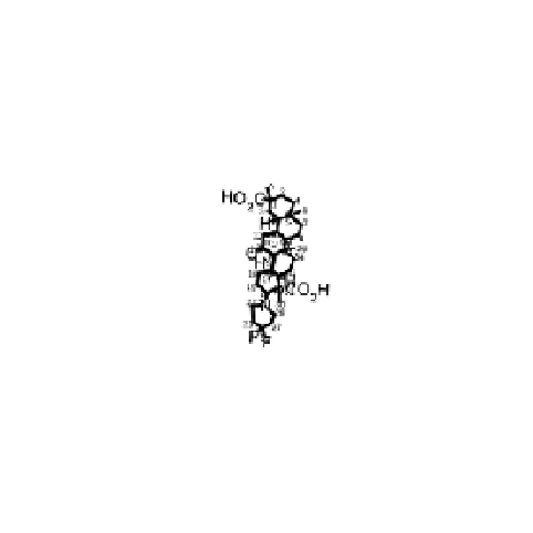 C[C@]1(C(=O)O)CC[C@]2(C)CC[C@]3(C)C(=CC(=O)[C@@H]4[C@@]5(C)CC[C@H](N6CCC(F)(F)CC6)[C@@](C)(C(=O)O)[C@@H]5CC[C@]43C)[C@@H]2C1